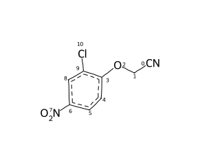 N#CCOc1ccc([N+](=O)[O-])cc1Cl